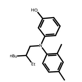 CCCCC(CC)CN(c1cccc(O)c1)c1ccc(C)cc1C